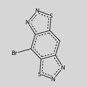 Brc1c2nnsc2cc2nnsc12